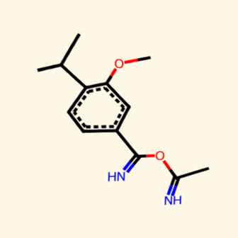 COc1cc(C(=N)OC(C)=N)ccc1C(C)C